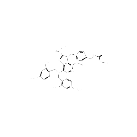 CCC[S+]([O-])c1nc2c(N(Cc3ccc(OC)cc3OC)Cc3ccc(OC)cc3OC)nnc(OC(C)C)c2n1Cc1ccc(CNC(=O)OC(C)(C)C)cc1